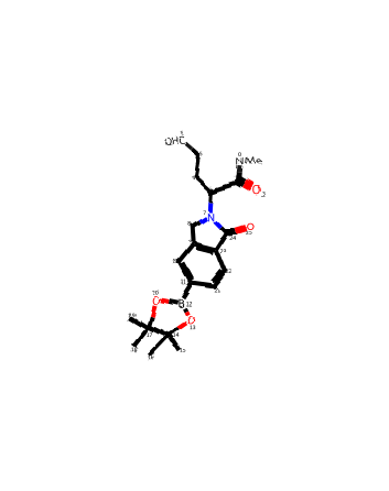 CNC(=O)C(CCC=O)N1Cc2cc(B3OC(C)(C)C(C)(C)O3)ccc2C1=O